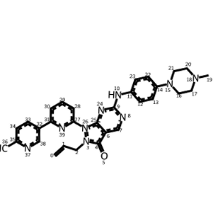 C=CCn1c(=O)c2cnc(Nc3ccc(N4CCN(C)CC4)cc3)nc2n1-c1cccc(-c2ccc(C#N)nc2)n1